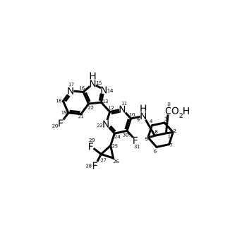 O=C(O)C1C2CCC(CC2)C1Nc1nc(-c2n[nH]c3ncc(F)cc23)nc(C2CC2(F)F)c1F